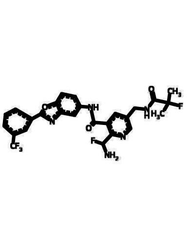 CC(C)(F)C(=O)NCc1cnc(C(N)F)c(C(=O)Nc2ccc3oc(-c4cccc(C(F)(F)F)c4)nc3c2)c1